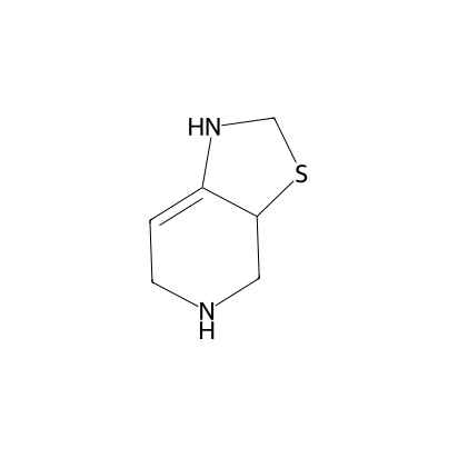 C1=C2NCSC2CNC1